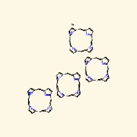 C1=Cc2cc3ccc(cc4nc(cc5ccc(cc1n2)[nH]5)C=C4)[nH]3.C1=Cc2cc3ccc(cc4nc(cc5ccc(cc1n2)[nH]5)C=C4)[nH]3.C1=Cc2cc3ccc(cc4nc(cc5ccc(cc1n2)[nH]5)C=C4)[nH]3.C1=Cc2cc3ccc(cc4nc(cc5ccc(cc1n2)[nH]5)C=C4)[nH]3.[Fe]